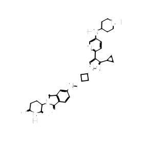 O=C1CCC(N2C(=O)c3ccc(NC[C@H]4C[C@H](n5cc(-c6ccc(NC7CCNCC7)cn6)c(C6CC6)n5)C4)cc3C2=O)C(=O)N1